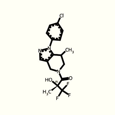 CC1CN(C(=O)[C@@](C)(O)C(F)(F)F)Cc2cnn(-c3ccc(Cl)cc3)c21